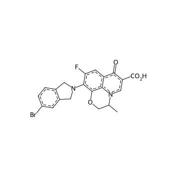 CC1COc2c(N3Cc4ccc(Br)cc4C3)c(F)cc3c(=O)c(C(=O)O)cn1c23